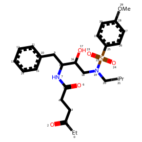 CCC(=O)CCC(=O)NC(Cc1ccccc1)C(O)CN(CC(C)C)S(=O)(=O)c1ccc(OC)cc1